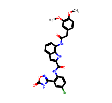 COc1ccc(CC(=O)Nc2cccc3cc(C(=O)Nc4ccc(Br)cc4-c4noc(=O)[nH]4)[nH]c23)cc1OC